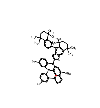 CC(C)c1ccc(N2c3ccc(C(C)(C)C)cc3B(c3cc4c(-c5ccc6c(c5)C(C)(C)CCC6(C)C)c5c(cc4s3)C(C)(C)CCC5(C)C)c3ccc(C(C)(C)C)cc32)c(-c2ccccc2)c1